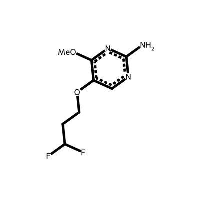 COc1nc(N)ncc1OCCC(F)F